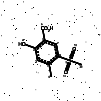 Cc1cc(O)c(C(=O)O)cc1S(C)(=O)=O